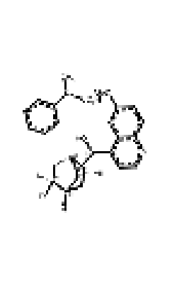 CC[C@H]1C[N@]2CC[C@H]1C[C@@H]2[C@@H](O)c1ccnc2ccc(OC)cc12.CN(C(=O)O)c1ccccc1